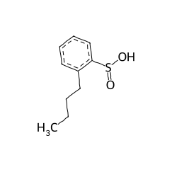 CCCCc1ccccc1S(=O)O